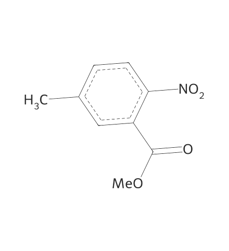 COC(=O)c1cc(C)ccc1[N+](=O)[O-]